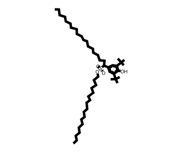 CCCCCCCCCCCCCCCCCCOS(=O)(=O)C(CCCCCCCCCCCCCCCCCC)c1cc(C(C)(C)C)c(O)c(C(C)(C)C)c1